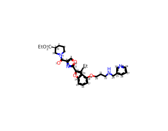 CCOC(=O)[C@H]1CCCN(C(=O)c2coc(-c3oc4cccc(OCCCNCc5cccnc5)c4c3CC)n2)C1